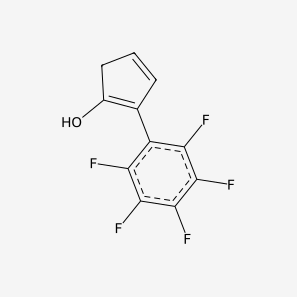 OC1=C(c2c(F)c(F)c(F)c(F)c2F)C=CC1